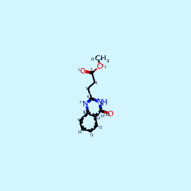 COC(=O)CCc1nc2ccccc2c(=O)[nH]1